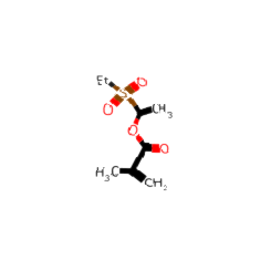 C=C(C)C(=O)OC(C)S(=O)(=O)CC